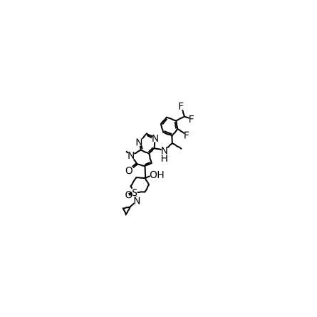 CC(Nc1ncnc2c1cc(C1(O)CCS(=O)(=NC3CC3)CC1)c(=O)n2C)c1cccc(C(F)F)c1F